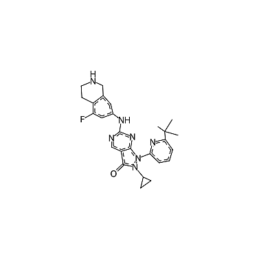 CC(C)(C)c1cccc(-n2c3nc(Nc4cc(F)c5c(c4)CNCC5)ncc3c(=O)n2C2CC2)n1